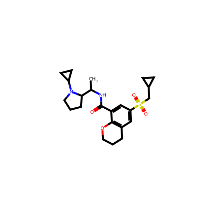 CC(NC(=O)c1cc(S(=O)(=O)CC2CC2)cc2c1OCCC2)C1CCCN1C1CC1